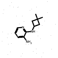 CC1(C)CC(Nc2ncccc2N)C1